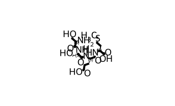 CSCC[C@H](NC(=O)[C@H](CCC(=O)O)NC(=O)[C@H](CO)NC(=O)[C@@H](N)CO)C(=O)O